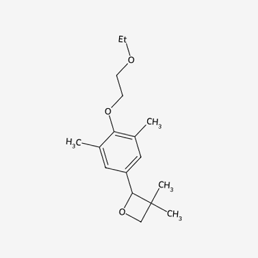 CCOCCOc1c(C)cc(C2OCC2(C)C)cc1C